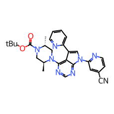 C[C@@H]1CN(c2ncnc3c2c(-c2ccccn2)cn3-c2cc(C#N)ccn2)[C@@H](C)CN1C(=O)OC(C)(C)C